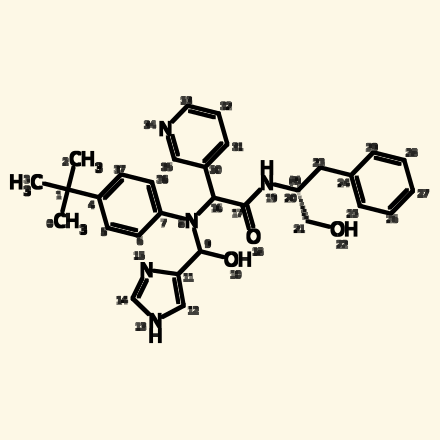 CC(C)(C)c1ccc(N(C(O)c2c[nH]cn2)C(C(=O)N[C@@H](CO)Cc2ccccc2)c2cccnc2)cc1